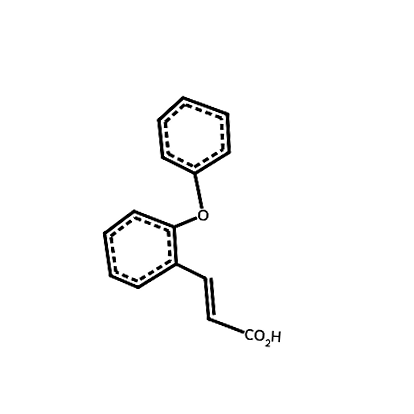 O=C(O)/C=C/c1ccccc1Oc1ccccc1